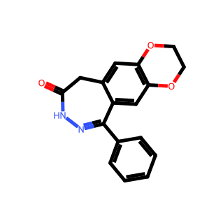 O=C1Cc2cc3c(cc2C(c2ccccc2)=NN1)OCCO3